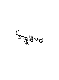 CNC(=O)CCCCCC(NC(=O)c1cncs1)c1ncc(-c2ccc(-c3cccnc3)cc2)[nH]1